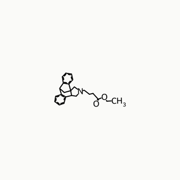 CCOC(=O)CCCN1CC2c3ccccc3C3CC2(C1)c1ccccc13